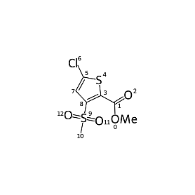 COC(=O)c1sc(Cl)cc1S(C)(=O)=O